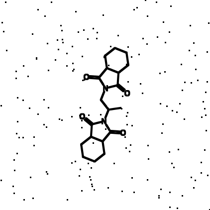 CC(CN1C(=O)C2CCCCC2C1=O)N1C(=O)C2CCCCC2C1=O